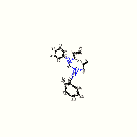 C=CC[N+](C[N+](CC=C)c1ccccc1)c1ccccc1